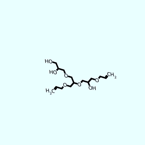 C=CCOCC(O)COC(COCC=C)COCC(O)CO